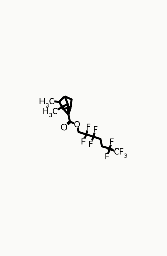 CC1C2CC3C1C3(C(=O)OCC(F)(F)C(F)(F)CCC(F)(F)C(F)(F)F)C2C